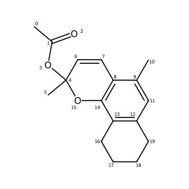 CC(=O)OC1(C)C=Cc2c(C)cc3c(c2O1)CCCC3